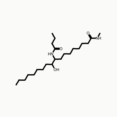 CCCCCCCCC(O)C(CCCCCCCC(=O)NC)NC(=O)CCC